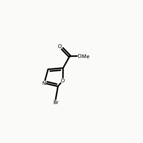 COC(=O)c1cnc(Br)o1